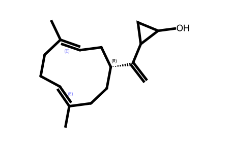 C=C(C1CC1O)[C@H]1C/C=C(\C)CC/C=C(\C)CC1